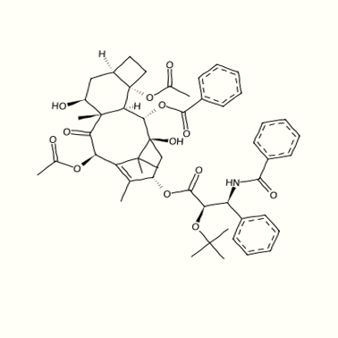 CC(=O)O[C@H]1C(=O)[C@@]2(C)[C@H]([C@H](OC(=O)c3ccccc3)[C@]3(O)C[C@H](OC(=O)[C@H](OC(C)(C)C)[C@@H](NC(=O)c4ccccc4)c4ccccc4)C(C)=C1C3(C)C)[C@]1(OC(C)=O)CC[C@@H]1C[C@@H]2O